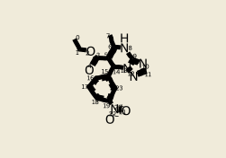 CCOC(=O)C1=C(C)Nc2ncnn2C1c1cccc([N+](=O)[O-])c1